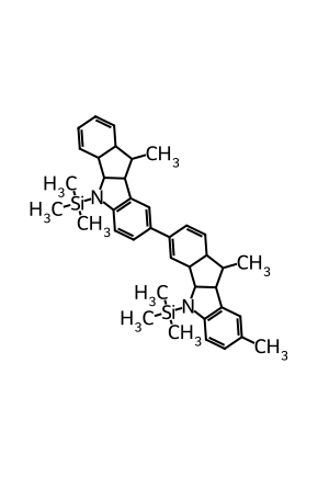 Cc1ccc2c(c1)C1C(C)C3C=CC(c4ccc5c(c4)C4C(C)C6C=CC=CC6C4N5[Si](C)(C)C)=CC3C1N2[Si](C)(C)C